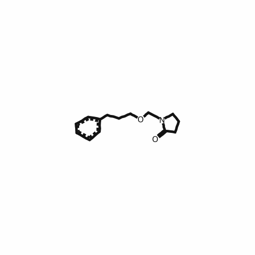 O=C1CCCN1COCCCc1ccccc1